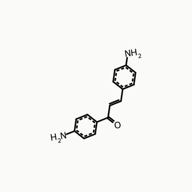 Nc1ccc(C=CC(=O)c2ccc(N)cc2)cc1